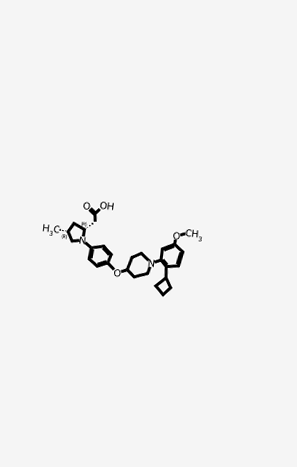 COc1ccc(C2CCC2)c(N2CCC(Oc3ccc(N4C[C@H](C)C[C@@H]4CC(=O)O)cc3)CC2)c1